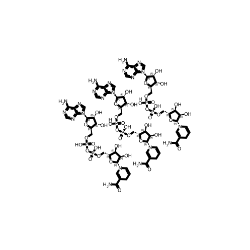 NC(=O)C1=CN([C@@H]2O[C@H](COP(=O)(O)OP(=O)(O)OC[C@H]3O[C@@H](n4cnc5c(N)ncnc54)[C@H](O)[C@@H]3O)[C@@H](O)[C@H]2O)C=CC1.NC(=O)C1=CN([C@@H]2O[C@H](COP(=O)(O)OP(=O)(O)OC[C@H]3O[C@@H](n4cnc5c(N)ncnc54)[C@H](O)[C@@H]3O)[C@@H](O)[C@H]2O)C=CC1.NC(=O)C1=CN([C@@H]2O[C@H](COP(=O)(O)OP(=O)(O)OC[C@H]3O[C@@H](n4cnc5c(N)ncnc54)[C@H](O)[C@@H]3O)[C@@H](O)[C@H]2O)C=CC1